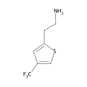 NCCc1cc(C(F)(F)F)cs1